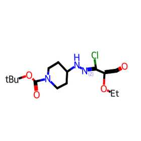 CCOC(=C=O)/C(Cl)=N/NC1CCN(C(=O)OC(C)(C)C)CC1